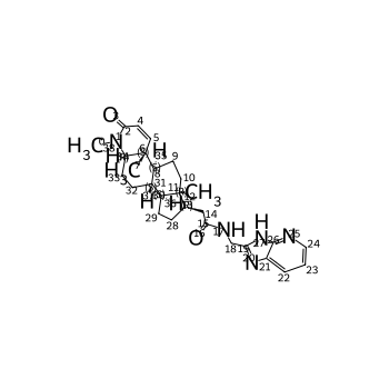 CN1C(=O)C=C[C@]2(C)[C@H]3CC[C@]4(C)[C@@H](CC(=O)NCc5nc6cccnc6[nH]5)CC[C@H]4[C@@H]3CC[C@@H]12